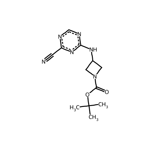 CC(C)(C)OC(=O)N1CC(Nc2ncnc(C#N)n2)C1